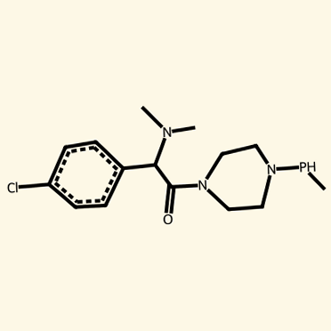 CPN1CCN(C(=O)C(c2ccc(Cl)cc2)N(C)C)CC1